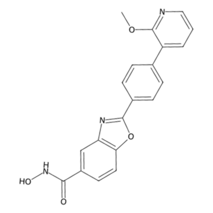 COc1ncccc1-c1ccc(-c2nc3cc(C(=O)NO)ccc3o2)cc1